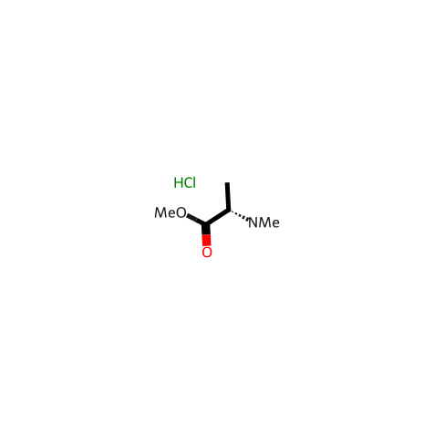 CN[C@@H](C)C(=O)OC.Cl